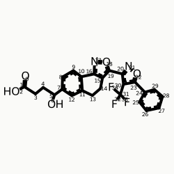 O=C(O)CCC(O)c1ccc2c(c1)CCc1c-2noc1-c1noc(-c2ccccc2)c1C(F)(F)F